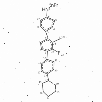 CCCNc1ccc(-c2ccc(-c3ccc(C4CCCCC4)cc3)c(F)c2F)cc1